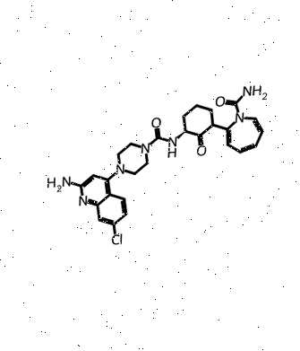 NC(=O)N1C=CC=CC=C1C1CCC[C@H](NC(=O)N2CCN(c3cc(N)nc4cc(Cl)ccc34)CC2)C1=O